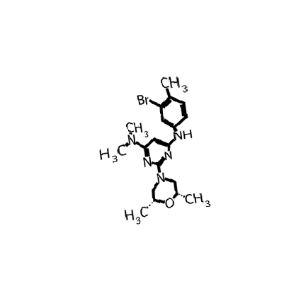 Cc1ccc(Nc2cc(N(C)C)nc(N3C[C@@H](C)O[C@@H](C)C3)n2)cc1Br